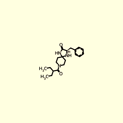 CCC(CC)C(=O)N1CCC2(CC1)NC(=O)[C@@H](Cc1ccccc1)N2